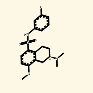 COc1ccc(S(=O)(=O)Nc2cccc(F)c2)c2c1C[C@H](N(C)C)CC2